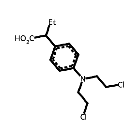 CCC(C(=O)O)c1ccc(N(CCCl)CCCl)cc1